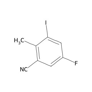 Cc1c(I)cc(F)cc1C#N